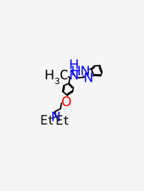 CCN(CC)CCCOc1ccc(C(C)NCc2nc3ccccc3[nH]2)cc1